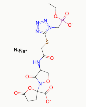 CCOP(=O)([O-])Cn1nnnc1SCC(=O)N[C@H]1CON(C2(C(=O)[O-])CCC(=O)O2)C1=O.[Na+].[Na+]